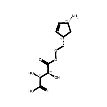 N[C@H]1C=C[C@@H](COOC(=O)[C@@H](O)[C@H](O)C(=O)O)C1